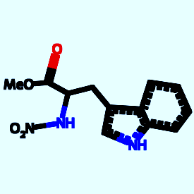 COC(=O)C(Cc1c[nH]c2ccccc12)N[N+](=O)[O-]